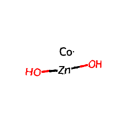 [Co].[OH][Zn][OH]